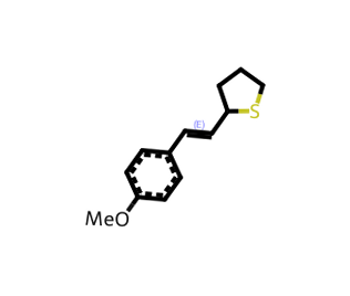 COc1ccc(/C=C/C2CCCS2)cc1